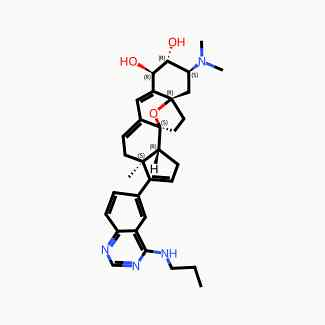 CCCNc1ncnc2ccc(C3=CC[C@@H]4[C@]3(C)CC=C3C=C5[C@@H](O)[C@H](O)[C@@H](N(C)C)C[C@]56CC[C@@]34O6)cc12